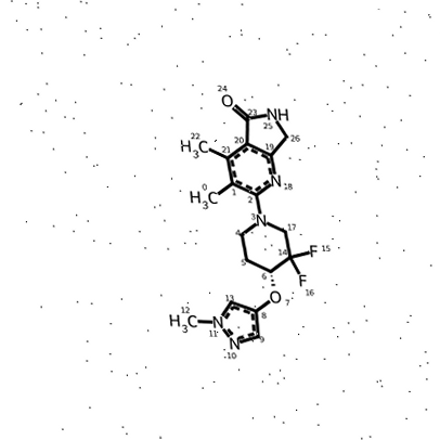 Cc1c(N2CC[C@@H](Oc3cnn(C)c3)C(F)(F)C2)nc2c(c1C)C(=O)NC2